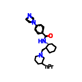 CCCC1CCCN(C[C@@H]2CCCC[C@H]2NC(=O)c2ccc(-n3ccnc3)cc2)C1